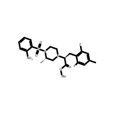 Cc1cc(F)c(C[C@@H](C(=O)OC(C)(C)C)N2CCN(S(=O)(=O)c3ccccc3[N+](=O)[O-])[C@@H](C)C2)c(F)c1